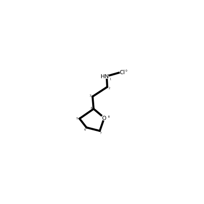 ClNCCC1CCCO1